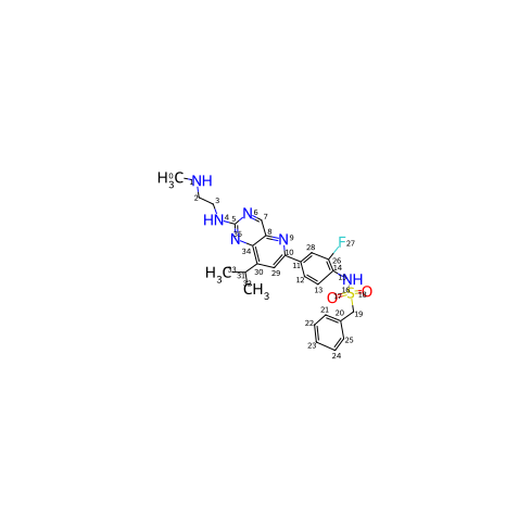 CNCCNc1ncc2nc(-c3ccc(NS(=O)(=O)Cc4ccccc4)c(F)c3)cc(C(C)C)c2n1